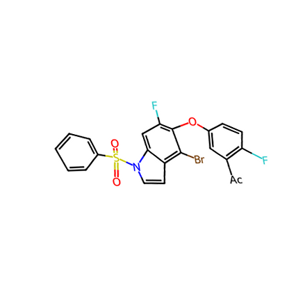 CC(=O)c1cc(Oc2c(F)cc3c(ccn3S(=O)(=O)c3ccccc3)c2Br)ccc1F